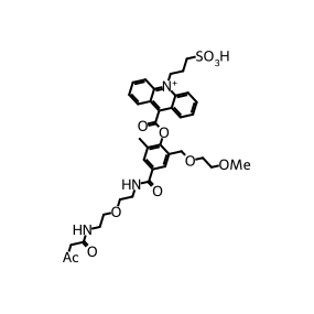 COCCOCc1cc(C(=O)NCCOCCNC(=O)CC(C)=O)cc(C)c1OC(=O)c1c2ccccc2[n+](CCCS(=O)(=O)O)c2ccccc12